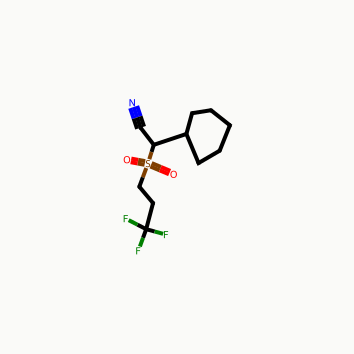 N#CC(C1CCCCC1)S(=O)(=O)CCC(F)(F)F